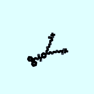 CC(C)(C)OC(=O)CCOCCOCCN(CCOCCOCCC(=O)OC(C)(C)C)C1CCC(NC(=O)OCC2c3ccccc3-c3ccccc32)CC1